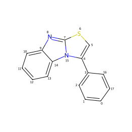 c1ccc(-c2csc3nc4ccccc4n23)cc1